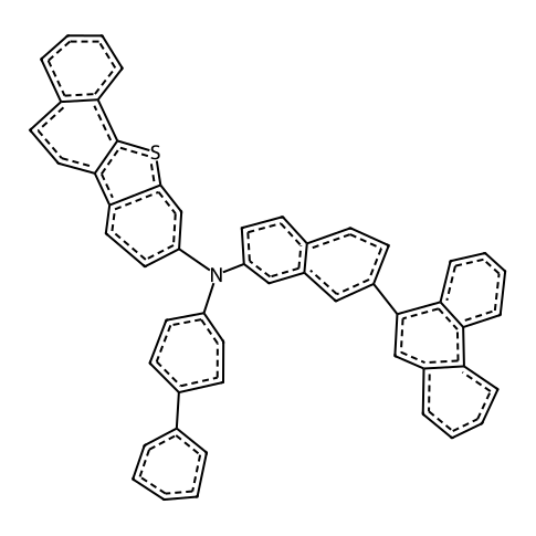 c1ccc(-c2ccc(N(c3ccc4ccc(-c5cc6ccccc6c6ccccc56)cc4c3)c3ccc4c(c3)sc3c5ccccc5ccc43)cc2)cc1